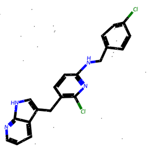 Clc1ccc(CNc2ccc(Cc3c[nH]c4ncccc34)c(Cl)n2)cc1